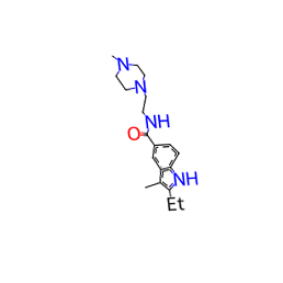 CCc1[nH]c2ccc(C(=O)NCCN3CCN(C)CC3)cc2c1C